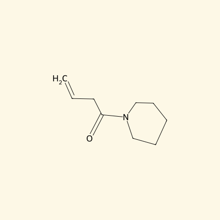 C=CCC(=O)N1CCCCC1